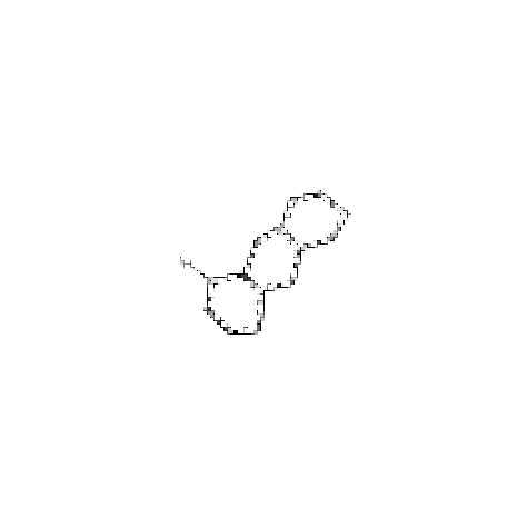 [2H]c1cccc2cc3ccccc3cc12